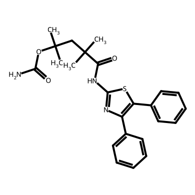 CC(C)(CC(C)(C)C(=O)Nc1nc(-c2ccccc2)c(-c2ccccc2)s1)OC(N)=O